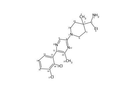 CCC(N)C1(C)CCN(c2cnc(-c3cccc(Cl)c3Cl)c(C)n2)CC1